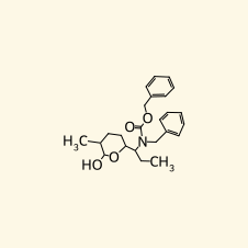 CCC(C1CCC(C)C(O)O1)N(Cc1ccccc1)C(=O)OCc1ccccc1